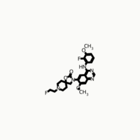 COc1cc2ncnc(Nc3cccc(OC)c3F)c2cc1N1CC2(CCN(CCF)CC2)OC1=O